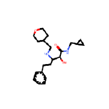 O=C(NCC1CC1)C(O)C(CCc1ccccc1)NCC1CCOCC1